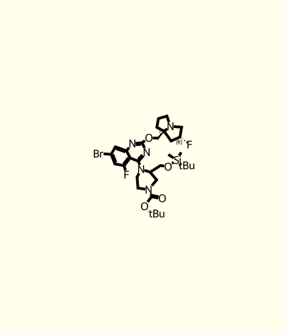 CC(C)(C)OC(=O)N1CCN(c2nc(OC[C@@]34CCCN3C[C@H](F)C4)nc3cc(Br)cc(F)c23)C(CO[Si](C)(C)C(C)(C)C)C1